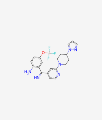 N=C(c1ccnc(N2CCC(n3cccn3)CC2)c1)c1cc(OC(F)(F)F)ccc1N